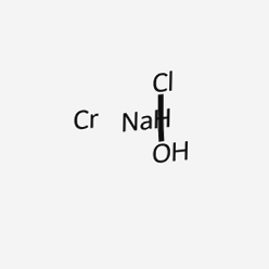 OCl.[Cr].[NaH]